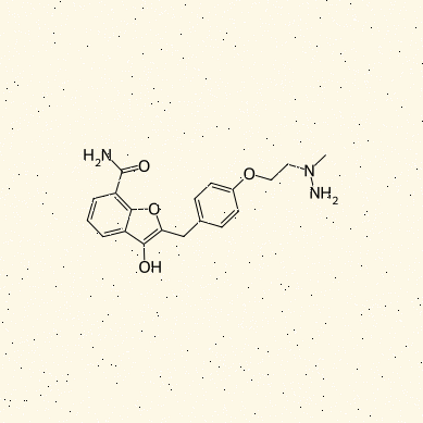 CN(N)CCOc1ccc(Cc2oc3c(C(N)=O)cccc3c2O)cc1